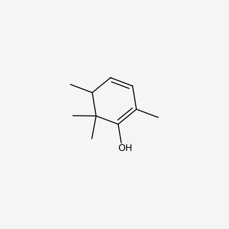 CC1=C(O)C(C)(C)C(C)C=C1